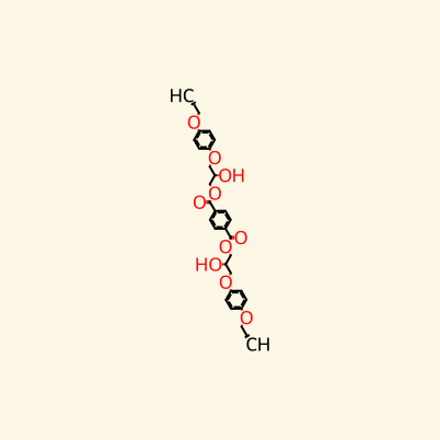 C#CCOc1ccc(OCC(O)COC(=O)c2ccc(C(=O)OCC(O)COc3ccc(OCC#C)cc3)cc2)cc1